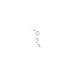 CCCn1cc(-c2cc(Oc3ccc4nc(N[C@@H](C)C5CCCCC5)sc4c3)ccn2)cn1